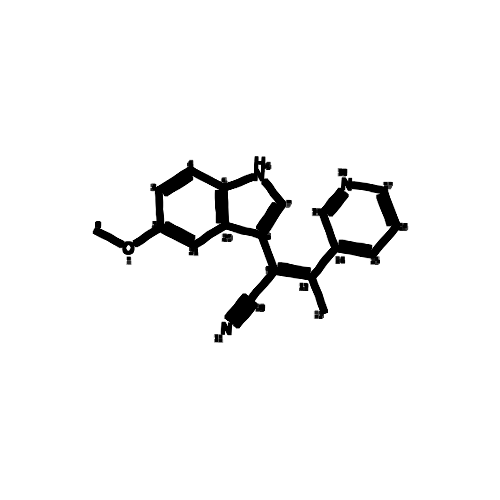 COc1ccc2[nH]cc(C(C#N)=C(C)c3cccnc3)c2c1